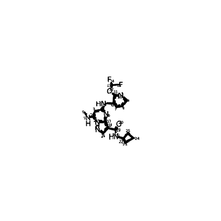 CNc1cc(Nc2cccnc2OC(F)F)nc2c(C(=O)NC3CCC3)cnn12